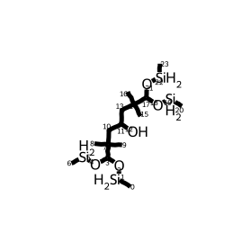 C[SiH2]OC(O[SiH2]C)C(C)(C)CC(O)CC(C)(C)C(O[SiH2]C)O[SiH2]C